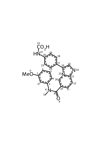 COc1cccc(N(C)C(=O)c2ccc3ncc(-c4ccc(NC(=O)O)cc4)n3c2)c1